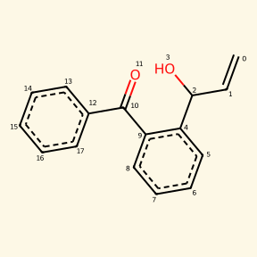 C=CC(O)c1ccccc1C(=O)c1ccccc1